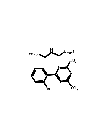 CCOC(=O)CNCC(=O)OCC.ClC(Cl)(Cl)c1nc(-c2ccccc2Br)nc(C(Cl)(Cl)Cl)n1